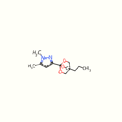 CCCC12COC(c3cc(C)n(C)n3)(OC1)OC2